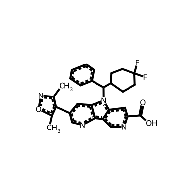 Cc1noc(C)c1-c1cnc2c3cnc(C(=O)O)cc3n(C(c3ccccc3)C3CCC(F)(F)CC3)c2c1